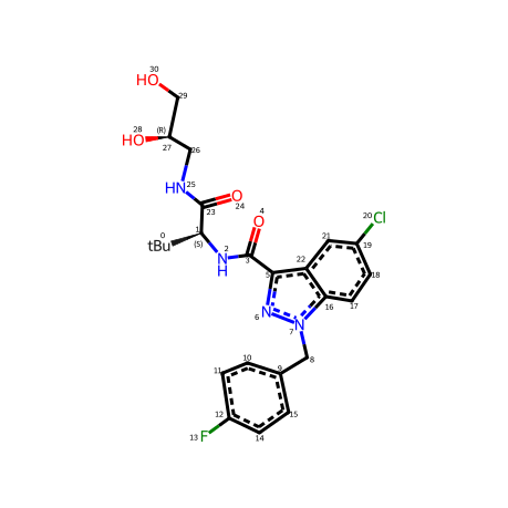 CC(C)(C)[C@H](NC(=O)c1nn(Cc2ccc(F)cc2)c2ccc(Cl)cc12)C(=O)NC[C@@H](O)CO